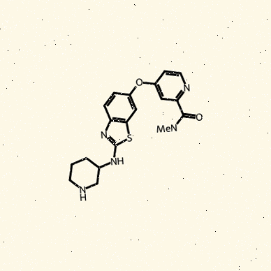 CNC(=O)c1cc(Oc2ccc3nc(NC4CCCNC4)sc3c2)ccn1